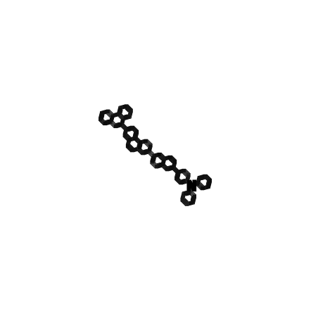 c1ccc(N(c2ccccc2)c2ccc(-c3ccc4cc(-c5ccc6c(ccc7cc(-c8cc9ccccc9c9ccccc89)ccc76)c5)ccc4c3)cc2)cc1